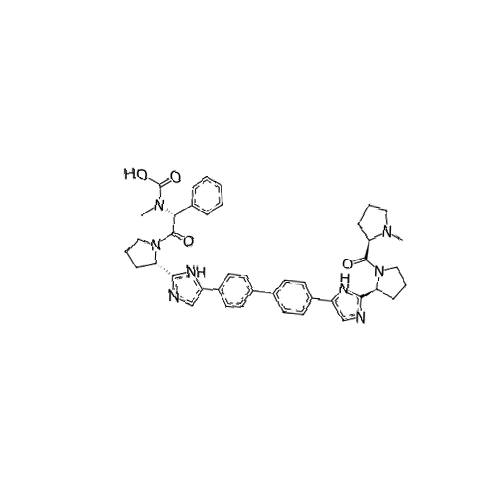 CN1CCC[C@@H]1C(=O)N1CCC[C@H]1c1ncc(-c2ccc(-c3ccc(-c4cnc([C@@H]5CCCN5C(=O)[C@@H](c5ccccc5)N(C)C(=O)O)[nH]4)cc3)cc2)[nH]1